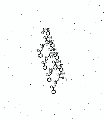 COc1ccc(NC(=O)[C@H](CCCCNCC(=O)c2ccccc2)NC(=O)c2cc(NC(=O)[C@H](CCCCNCC(=O)c3ccccc3)NC(=O)c3cc(NC(=O)[C@H](CCCCNCC(=O)c4ccccc4)NC(=O)c4cc(NC(=O)[C@@H](N)CCCCNCC(=O)c5ccccc5)ccc4OC)ccc3OC)ccc2OC)cc1C(N)=O